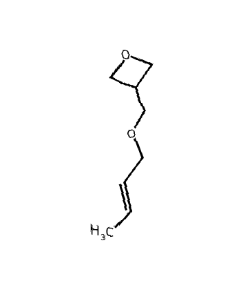 CC=CCOCC1COC1